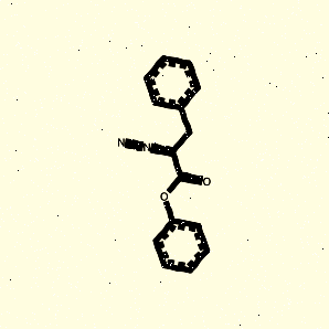 [N-]=[N+]=C(Cc1ccccc1)C(=O)Oc1ccccc1